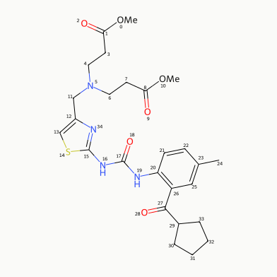 COC(=O)CCN(CCC(=O)OC)Cc1csc(NC(=O)Nc2ccc(C)cc2C(=O)C2CCCC2)n1